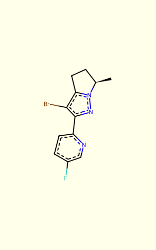 C[C@@H]1CCc2c(Br)c(-c3ccc(F)cn3)nn21